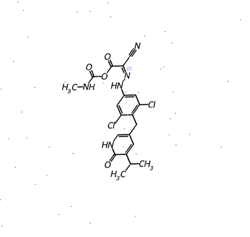 CNC(=O)OC(=O)/C(C#N)=N\Nc1cc(Cl)c(Cc2c[nH]c(=O)c(C(C)C)c2)c(Cl)c1